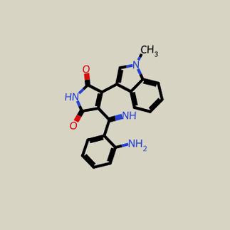 Cn1cc(C2=C(C(=N)c3ccccc3N)C(=O)NC2=O)c2ccccc21